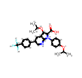 CC(C)Oc1ccc(-n2c(C(=O)O)c(OC(C)C)c3cc(-c4ccc(C(F)(F)F)cc4)cnc32)cc1